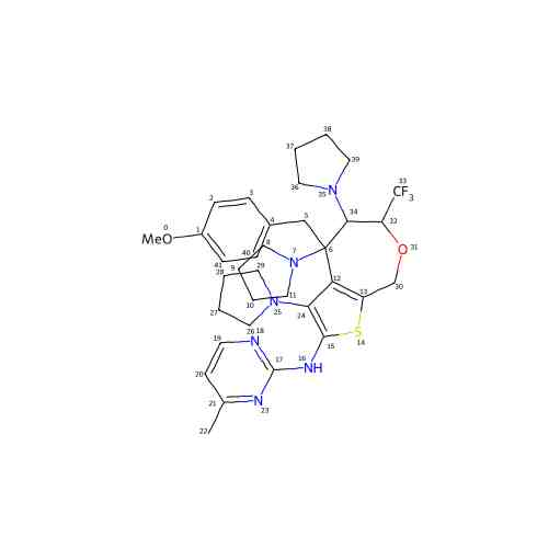 COc1ccc(CC2(N3CCCC3)c3c(sc(Nc4nccc(C)n4)c3N3CCCC3)COC(C(F)(F)F)C2N2CCCC2)cc1